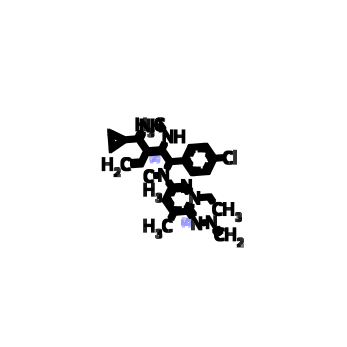 C=C/C(C(=N)C1CC1)=C(/NC)C(c1ccc(Cl)cc1)N(C)c1cc(C)/c(=N/N=C)n(CC)n1